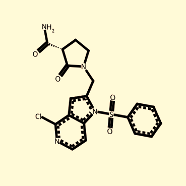 NC(=O)[C@@H]1CCN(Cc2cc3c(Cl)nccc3n2S(=O)(=O)c2ccccc2)C1=O